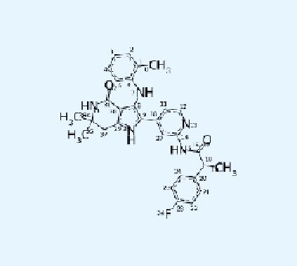 Cc1ccccc1Nc1c(-c2ccnc(NC(=O)C(C)c3ccc(F)cc3)c2)[nH]c2c1C(=O)NC(C)(C)C2